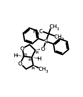 C[C@H]1CO[C@H]2OC[C@H](O[Si](c3ccccc3)(c3ccccc3)C(C)(C)C)[C@H]21